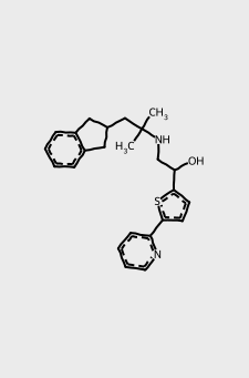 CC(C)(CC1Cc2ccccc2C1)NCC(O)c1ccc(-c2ccccn2)s1